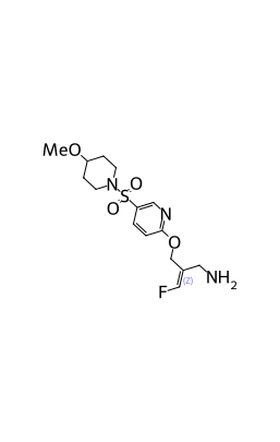 COC1CCN(S(=O)(=O)c2ccc(OC/C(=C\F)CN)nc2)CC1